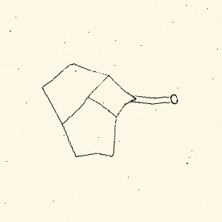 O=C1C2CCC3CCC1C32